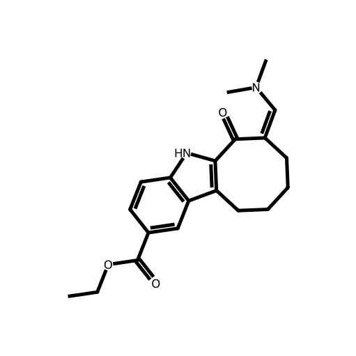 CCOC(=O)c1ccc2[nH]c3c(c2c1)CCCC/C(=C/N(C)C)C3=O